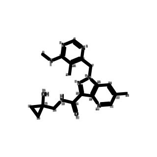 CSc1ncnc(Cn2nc(C(=O)NCC3(O)CC3)c3ncc(C)cc32)c1C